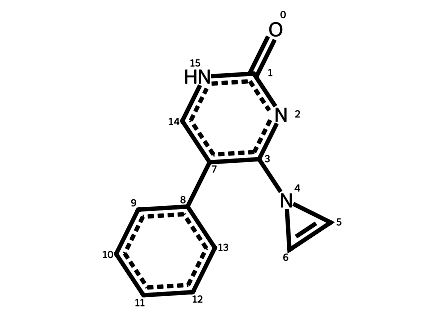 O=c1nc(N2C=C2)c(-c2ccccc2)c[nH]1